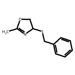 CC1=NC(SCc2ccccc2)CO1